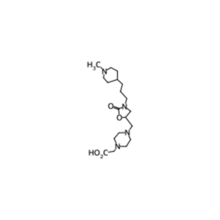 CN1CCC(CCCN2CC(CN3CCN(CC(=O)O)CC3)OC2=O)CC1